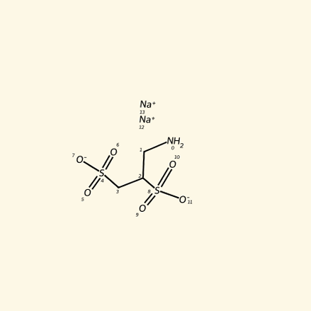 NCC(CS(=O)(=O)[O-])S(=O)(=O)[O-].[Na+].[Na+]